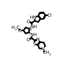 COC1C[C@@H](NC(=O)c2nc3c(s2)CN(C)CC3)[C@H](NC(=O)C2Cc3cc(Cl)ccc3N2)C1